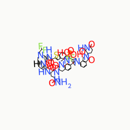 CC(C)(C)c1ccc(CC(NC(=O)C(CCC(N)=O)NC(=O)[C@@H]2CC[C@@H]3CCN(CC(F)F)C[C@H](NC(=O)c4cc5cc(C(F)(F)P(=O)(O)O)ccc5s4)C(=O)N32)C(=O)N2CCN(CC3CN(c4cccc5c4CN(C4CCC(=O)NC4=O)C5=O)C3)CC2)cc1